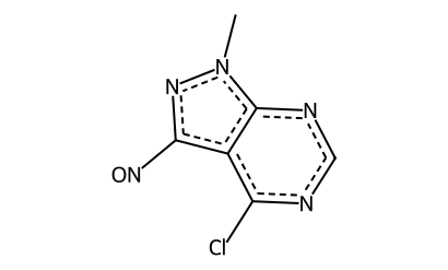 Cn1nc(N=O)c2c(Cl)ncnc21